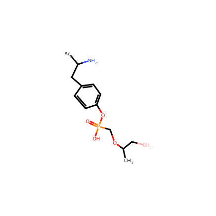 BCC(C)OCP(=O)(O)Oc1ccc(CC(N)C(C)=O)cc1